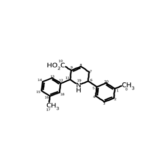 Cc1cccc(C2CC=C(C(=O)O)C(c3cccc(C)c3)N2)c1